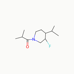 CC(C)C(=O)N1CCC(C(C)C)C(F)C1